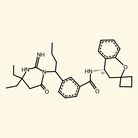 CCCC(c1cccc(C(=O)N[C@H]2CC3(CCC3)Oc3ccccc32)c1)N1C(=N)NC(CC)(CC)CC1=O